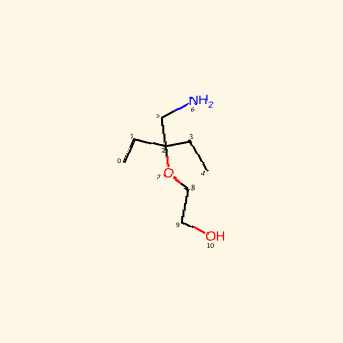 CCC(CC)(CN)OCCO